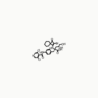 O=C(Nc1ccc(C[C@](CC(O)CO)(NC2=C(Br)C(=O)C23CCCCC3)C(=O)O)cc1)c1c(Cl)cncc1Cl